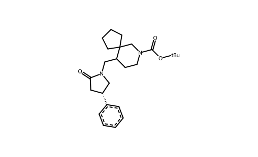 CC(C)(C)OC(=O)N1CCC(CN2C[C@H](c3ccccc3)CC2=O)C2(CCCC2)C1